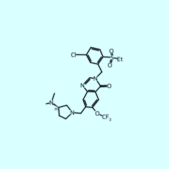 CCS(=O)(=O)c1ccc(Cl)cc1Cn1cnc2cc(CN3CC[C@@H](N(C)C)C3)c(OC(F)(F)F)cc2c1=O